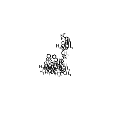 CC(C)S(=O)(=O)C(C)(C)C(=O)Nc1cc(-c2cccs2)nn1C.CC(C)S(=O)(=O)C(C)(C)C(=O)Nc1ccc2ccccc2c1.CC(C)S(=O)(=O)C(C)(C)C(=O)Nc1nc2c(s1)CCCC2.CCCS(=O)(=O)C(C)(C)C(=O)Nc1cc(C(F)(F)F)ccn1